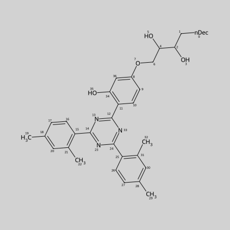 CCCCCCCCCCCC(O)C(O)COc1ccc(-c2nc(-c3ccc(C)cc3C)nc(-c3ccc(C)cc3C)n2)c(O)c1